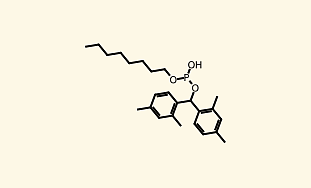 CCCCCCCCOP(O)OC(c1ccc(C)cc1C)c1ccc(C)cc1C